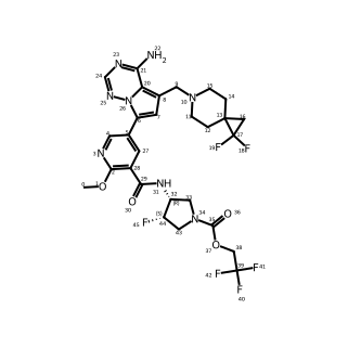 COc1ncc(-c2cc(CN3CCC4(CC3)CC4(F)F)c3c(N)ncnn23)cc1C(=O)N[C@@H]1CN(C(=O)OCC(F)(F)F)C[C@@H]1F